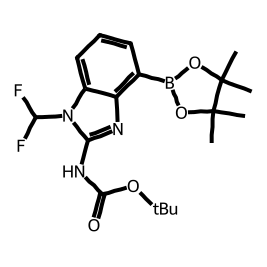 CC(C)(C)OC(=O)Nc1nc2c(B3OC(C)(C)C(C)(C)O3)cccc2n1C(F)F